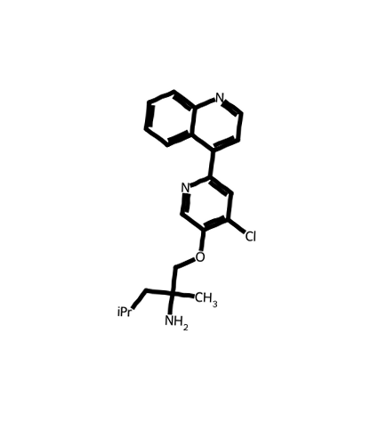 CC(C)CC(C)(N)COc1cnc(-c2ccnc3ccccc23)cc1Cl